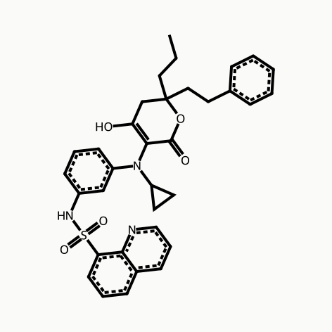 CCCC1(CCc2ccccc2)CC(O)=C(N(c2cccc(NS(=O)(=O)c3cccc4cccnc34)c2)C2CC2)C(=O)O1